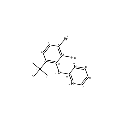 CC(C)(C)c1ccc(Br)c(F)c1Oc1ncccn1